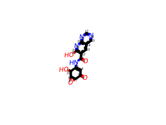 O=C(NC1=CC(=O)C2OC2C1O)c1cc2cncnc2nc1O